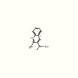 CC(Cl)c1cc2ccccc2nc1Cl